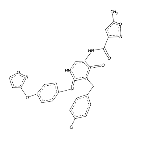 Cc1cc(C(=O)Nc2c[nH]/c(=N\c3ccc(Oc4ccon4)cc3)n(Cc3ccc(Cl)cc3)c2=O)no1